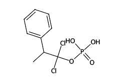 CC(c1ccccc1)C(Cl)(Cl)OP(=O)(O)O